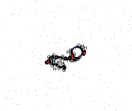 CO[C@H]1/C=C/O[C@@]2(C)Oc3c(C)c(O)c4c(=O)c(c5oc6cc(N7CCC(NC(=O)OCc8ccc(NC(=O)[C@H](C)NC(=O)[C@H](Cc9ccccc9)NC(=O)[C@H](C)NC(=O)CNC(=O)CNC(=O)CCN9C(=O)C=CC9=O)cc8)CC7)cc(O)c6nc-5c4c3C2=O)NC(=O)/C(C)=C\C=C\[C@H](C)[C@H](O)[C@@H](C)[C@@H](O)[C@@H](C)[C@H](OC(C)=O)[C@@H]1C